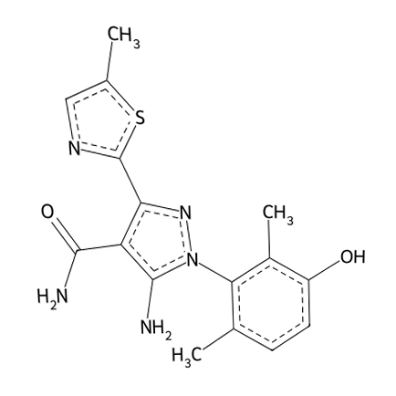 Cc1cnc(-c2nn(-c3c(C)ccc(O)c3C)c(N)c2C(N)=O)s1